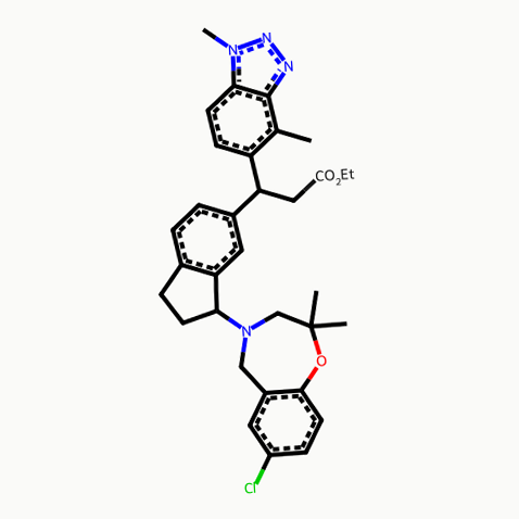 CCOC(=O)CC(c1ccc2c(c1)C(N1Cc3cc(Cl)ccc3OC(C)(C)C1)CC2)c1ccc2c(nnn2C)c1C